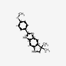 CSc1ccc(-c2nc3cc4c(cc3[nH]2)NCC4(C)C)cc1